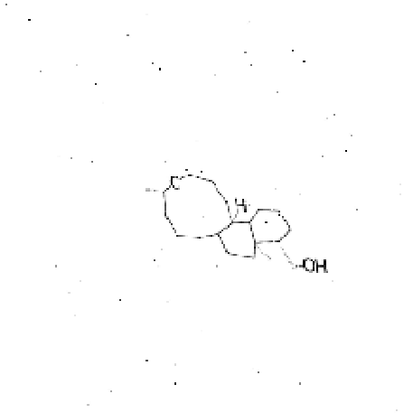 C[C@@H]1CCCC[C@@H]2C(CCC1)CC[C@@]1(C)C2CCC[C@@H]1CO